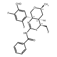 C[C@H]1C[C@H]2[C@@H](CF)SC(NC(=O)c3ccccc3)=N[C@@]2(c2cc(C=O)c(F)cc2F)CO1